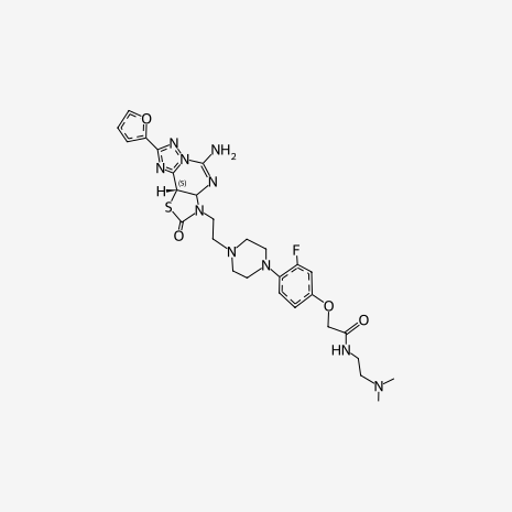 CN(C)CCNC(=O)COc1ccc(N2CCN(CCN3C(=O)S[C@@H]4c5nc(-c6ccco6)nn5C(N)=NC43)CC2)c(F)c1